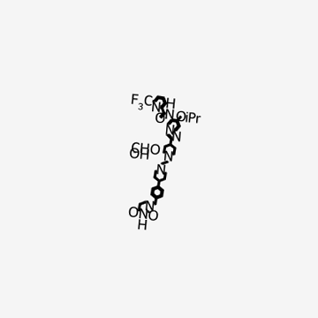 CC(C)Oc1cc2nc(C3CCN(CCN4CCC(c5ccc(CN6CCC(=O)NC6=O)cc5)CC4)CC3)cn2cc1NC(=O)c1cccc(C(F)(F)F)n1.O=CO